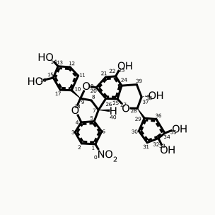 O=[N+]([O-])c1ccc2c(c1)[C@@H]1C[C@](c3ccc(O)c(O)c3)(O2)Oc2cc(O)c3c(c21)O[C@H](c1ccc(O)c(O)c1)[C@@H](O)C3